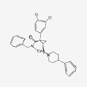 CN(Cc1ccccc1)C(=O)[C@@]1(c2ccc(Cl)c(Cl)c2)C[C@H]1CN1CCC(c2ccccc2)CC1